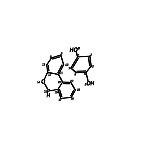 Oc1ccc(O)cc1.c1ccc2c(c1)OPc1ccccc1-2